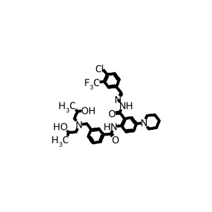 CC(O)CN(Cc1cccc(C(=O)Nc2ccc(N3CCCCC3)cc2C(=O)N/N=C/c2ccc(Cl)c(C(F)(F)F)c2)c1)CC(C)O